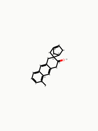 Cc1cccc2cc3c(cc12)CC(=O)C1(CC2=CCC1C2)C3